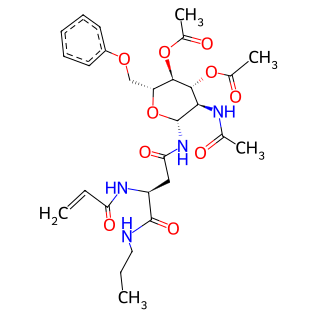 C=CC(=O)N[C@@H](CC(=O)N[C@@H]1O[C@H](COc2ccccc2)[C@@H](OC(C)=O)[C@H](OC(C)=O)[C@H]1NC(C)=O)C(=O)NCCC